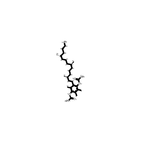 CCCC(=O)Oc1c(C)c(C)c(OC(=O)CCC)c(CC[C@@H](C)CCC[C@H](C)CCC[C@H](C)CCCC(C)C)c1C